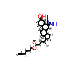 C#CCCCCOC(=O)CC[C@@H](C)[C@H]1CCC2C3CC4(NN4)[C@@H]4C[C@@H](O)CC[C@]4(C)C3CC[C@@]21C